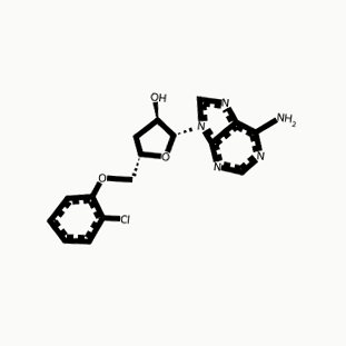 Nc1ncnc2c1ncn2[C@@H]1O[C@H](COc2ccccc2Cl)C[C@H]1O